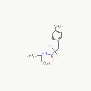 CCC(CC)(Cc1ccc(NC(C)=O)cc1)C(=O)NC(C(=O)O)C(=O)O